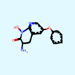 NC1Cc2cc(Oc3ccccc3)cnc2N(O)C1=O